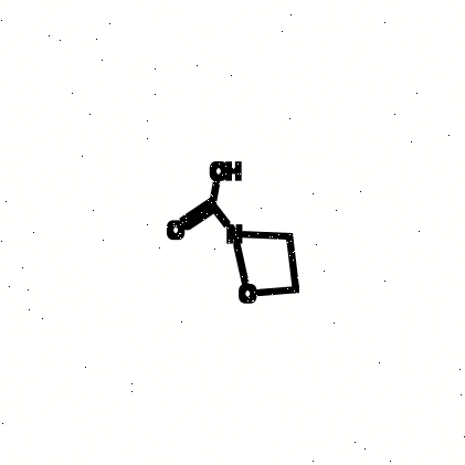 O=C(O)N1CCO1